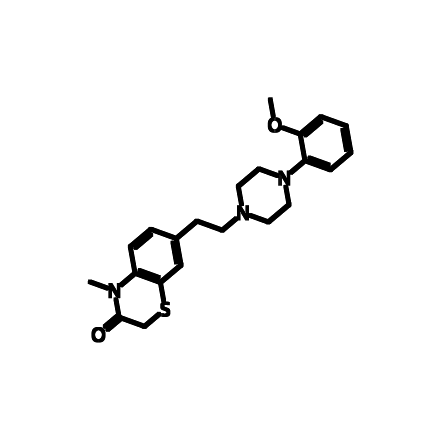 COc1ccccc1N1CCN(CCc2ccc3c(c2)SCC(=O)N3C)CC1